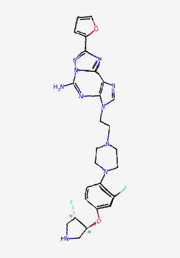 Nc1nc2c(ncn2CCN2CCN(c3ccc(O[C@H]4CNC[C@@H]4F)cc3F)CC2)c2nc(-c3ccco3)nn12